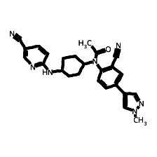 CC(=O)N(c1ccc(-c2cnn(C)c2)cc1C#N)C1CCC(Nc2ccc(C#N)cn2)CC1